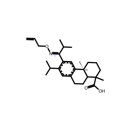 C=CCO/N=C(/c1cc2c(cc1C(C)C)CCC1C(C)(C(=O)O)CCC[C@]21C)C(C)C